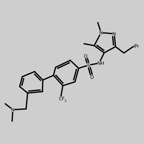 Cc1c(NS(=O)(=O)c2ccc(-c3cccc(CN(C)C)c3)c(C(F)(F)F)c2)c(CC(C)C)nn1C